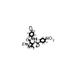 CCn1nc(C)c(NC(=O)c2ccc([N+](=O)[O-])cc2)c1C(=O)Nc1ccc(Cl)cc1